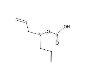 C=CCN(CC=C)OS(=O)O